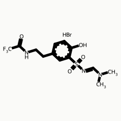 Br.CN(C)C=NS(=O)(=O)c1cc(CCNC(=O)C(F)(F)F)ccc1O